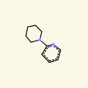 [c]1cccc(N2CCCCC2)n1